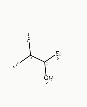 CCC(O)C(F)F